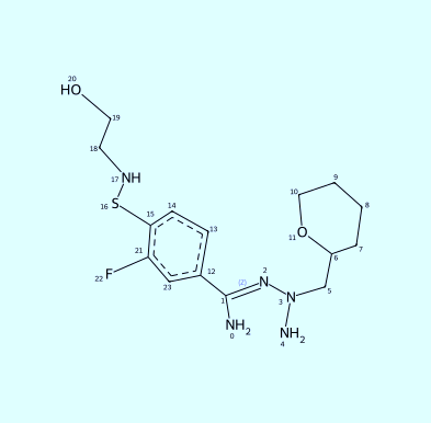 N/C(=N\N(N)CC1CCCCO1)c1ccc(SNCCO)c(F)c1